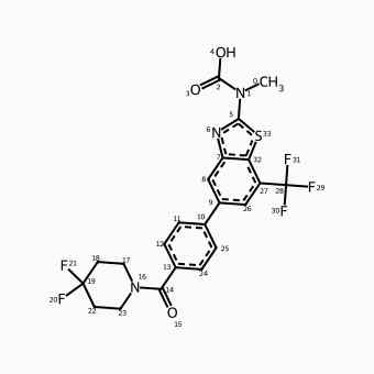 CN(C(=O)O)c1nc2cc(-c3ccc(C(=O)N4CCC(F)(F)CC4)cc3)cc(C(F)(F)F)c2s1